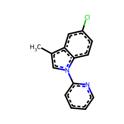 Cc1cn(-c2ccccn2)c2ccc(Cl)cc12